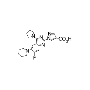 O=C(O)c1cnn(-c2nc(N3CCCC3)c3cc(N4CCCCC4)c(F)cc3n2)c1